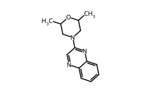 CC1CN(c2cnc3ccccc3n2)CC(C)O1